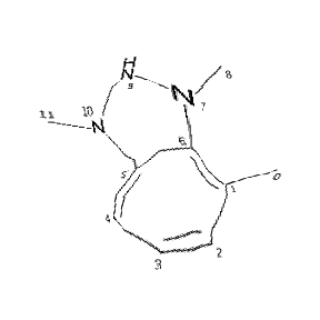 Cc1cccc2c1N(C)NN2C